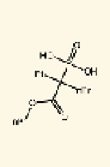 CCCOC(=O)C(CC)(CCC)P(=O)(O)O